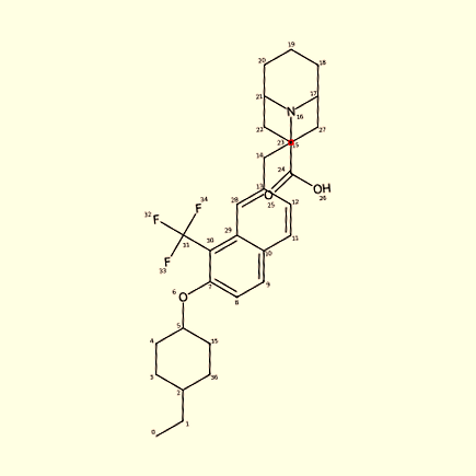 CCC1CCC(Oc2ccc3ccc(CCN4C5CCCC4CC(C(=O)O)C5)cc3c2C(F)(F)F)CC1